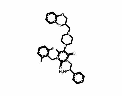 Cc1c(N2CCN(CC3COc4ccccc4O3)CC2)c(=O)n(C[C@H](N)c2ccccc2)c(=O)n1Cc1c(F)cccc1F